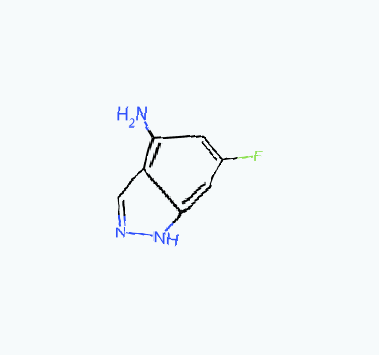 Nc1cc(F)cc2[nH]ncc12